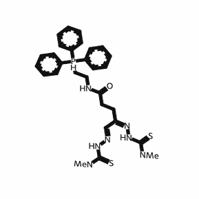 CNC(=S)N/N=C(\C=N\NC(=S)NC)CCC(=O)NCC[PH](c1ccccc1)(c1ccccc1)c1ccccc1